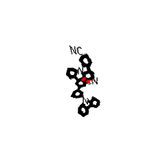 N#Cc1cc(-c2cccc(-n3c4ccccc4c4ccccc43)c2)cc(-c2ccccc2-n2c3ccccc3c3ccc(C#N)cc32)c1